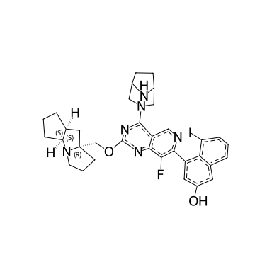 Oc1cc(-c2ncc3c(N4CC5CCC(C4)N5)nc(OC[C@]45CCCN4[C@H]4CCC[C@H]4C5)nc3c2F)c2c(I)cccc2c1